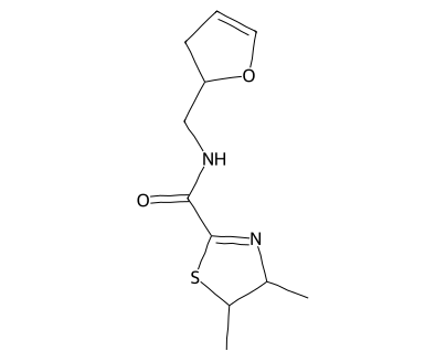 CC1N=C(C(=O)NCC2CC=CO2)SC1C